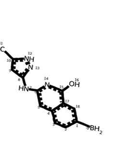 Bc1ccc2cc(Nc3cc(C)[nH]n3)nc(O)c2c1